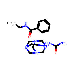 C1N2CN3CN1CN(C2)C3.NC(N)=O.O=C(O)CNC(=O)c1ccccc1